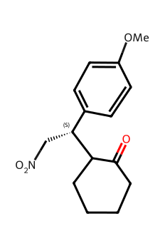 COc1ccc([C@@H](C[N+](=O)[O-])C2CCCCC2=O)cc1